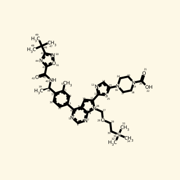 Cc1cc(-c2ncnc3c2cc(-c2ncc(N4CCN(C(=O)O)CC4)s2)n3COCC[Si](C)(C)C)ccc1[C@@H](C)NC(=O)c1nc(C(C)(C)C)no1